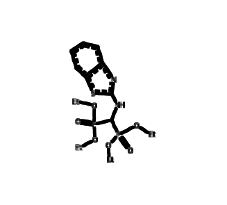 CCOP(=O)(OCC)C(Nc1nc2ccccc2s1)P(=O)(OCC)OCC